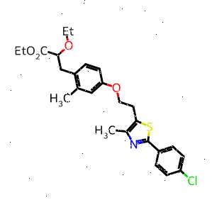 CCOC(=O)C(Cc1ccc(OCCc2sc(-c3ccc(Cl)cc3)nc2C)cc1C)OCC